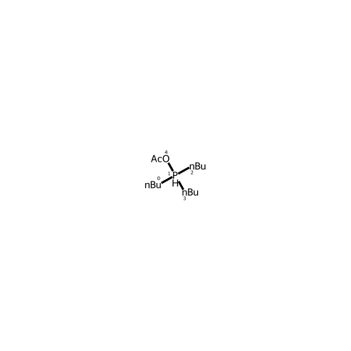 CCCC[PH](CCCC)(CCCC)OC(C)=O